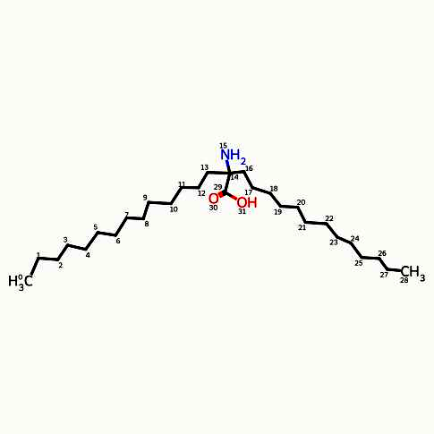 CCCCCCCCCCCCCCC(N)(CCCCCCCCCCCCC)C(=O)O